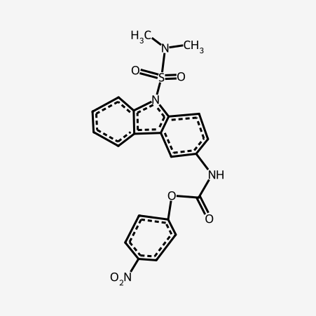 CN(C)S(=O)(=O)n1c2ccccc2c2cc(NC(=O)Oc3ccc([N+](=O)[O-])cc3)ccc21